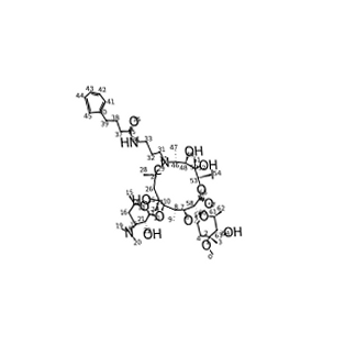 CO[C@]1(C)C[C@H](O[C@H]2[C@H](C)[C@@H](O[C@@H]3O[C@H](C)C[C@H](N(C)C)[C@H]3O)[C@](C)(O)C[C@@H](C)CN(CCCNC(=O)CCCc3ccccc3)[C@H](C)[C@@H](O)[C@](C)(O)[C@@H](I)OC(=O)[C@@H]2C)O[C@@H](C)[C@@H]1O